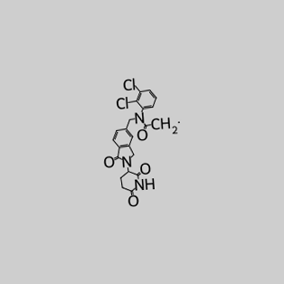 [CH2]C(=O)N(Cc1ccc2c(c1)CN(C1CCC(=O)NC1=O)C2=O)c1cccc(Cl)c1Cl